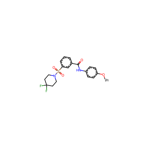 CC(C)Oc1ccc(NC(=O)c2cccc(S(=O)(=O)N3CCC(F)(F)CC3)c2)cc1